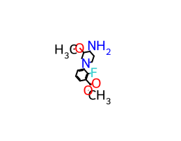 COC(=O)c1cccc(N2CCC(N)C(OC)C2)c1F